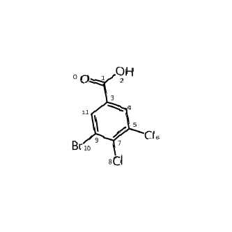 O=C(O)c1cc(Cl)c(Cl)c(Br)c1